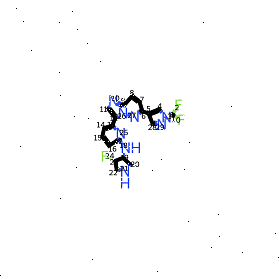 FC(F)n1cc(-c2ccc3ncc(-c4cccc(N[C@H]5CNC[C@@H]5F)n4)n3n2)cn1